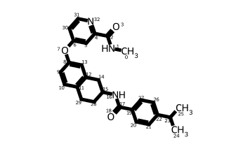 CNC(=O)c1cc(Oc2ccc3c(c2)CC(NC(=O)c2ccc(C(C)C)cc2)CC3)ccn1